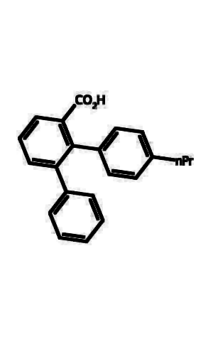 CCCc1ccc(-c2c(C(=O)O)cccc2-c2ccccc2)cc1